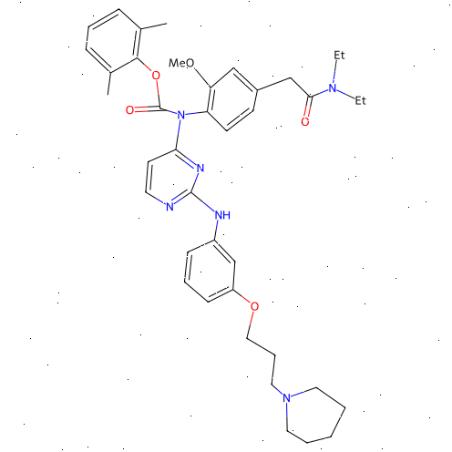 CCN(CC)C(=O)Cc1ccc(N(C(=O)Oc2c(C)cccc2C)c2ccnc(Nc3cccc(OCCCN4CCCCC4)c3)n2)c(OC)c1